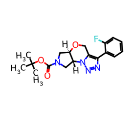 CC(C)(C)OC(=O)N1C[C@@H]2[C@@H](C1)OCc1c(-c3ccccc3F)nnn12